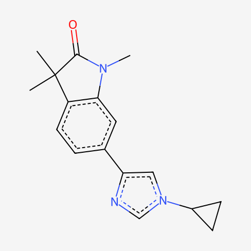 CN1C(=O)C(C)(C)c2ccc(-c3cn(C4CC4)cn3)cc21